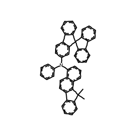 CC1(C)c2ccccc2-c2ccc3c(N(c4ccccc4)c4ccc5c(c4)C4(c6ccccc6-c6ccccc64)c4ccccc4-5)cccc3c21